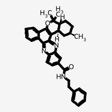 C[C@@H]1CC[C@@H]2[C@@H](C1)c1c(c3ccccc3c3nc4ccc(C(=O)NCCc5ccccc5)cc4nc13)OC2(C)C